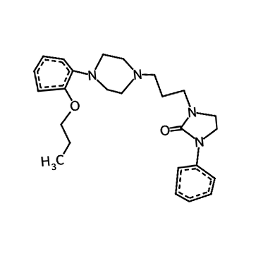 CCCOc1ccccc1N1CCN(CCCN2CCN(c3ccccc3)C2=O)CC1